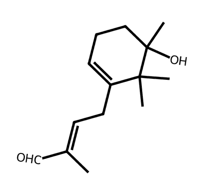 CC(C=O)=CCC1=CCCC(C)(O)C1(C)C